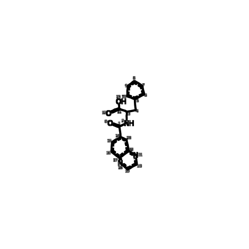 O=C(NC(Cc1ccccc1)C(=O)O)c1ccc2nccnc2c1